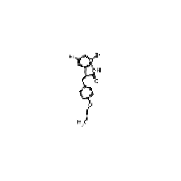 CCCOc1ccc(C=C2C(=O)Nc3c(Br)cc(Br)cc32)cc1